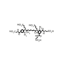 C\C(=C/C=C/C=C/C(C)=[N+](\CCCS(=O)(=O)O)c1cc(C(=O)NCCS(=O)(=O)O)cc(C(=O)NCCS(=O)(=O)O)c1C)N(CCCS(=O)(=O)O)c1ccc(C(=O)NCC(=O)O)cc1C